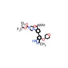 CNC(=O)c1ccc(-c2cc(OC3CCOCC3)c3c(C)n[nH]c3c2)cc1N1CCN(C(=O)OC(C)C(F)(F)F)CC1